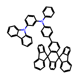 c1ccc(N(c2ccc(-c3ccc4c(c3)C3(c5ccccc5-c5ccccc53)c3ccccc3C43c4ccccc4-c4ccccc43)cc2)c2cccc(-n3c4ccccc4c4ccccc43)c2)cc1